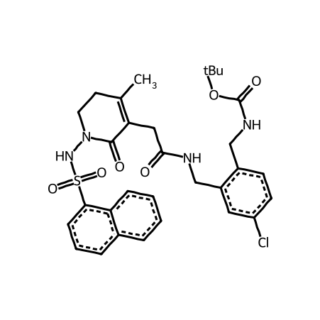 CC1=C(CC(=O)NCc2cc(Cl)ccc2CNC(=O)OC(C)(C)C)C(=O)N(NS(=O)(=O)c2cccc3ccccc23)CC1